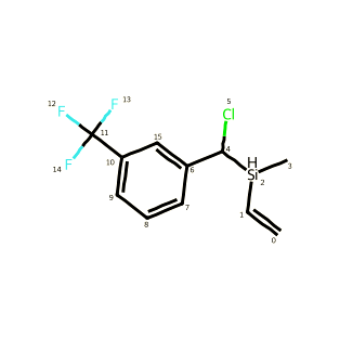 C=C[SiH](C)C(Cl)c1cccc(C(F)(F)F)c1